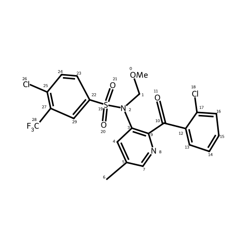 COCN(c1cc(C)cnc1C(=O)c1ccccc1Cl)S(=O)(=O)c1ccc(Cl)c(C(F)(F)F)c1